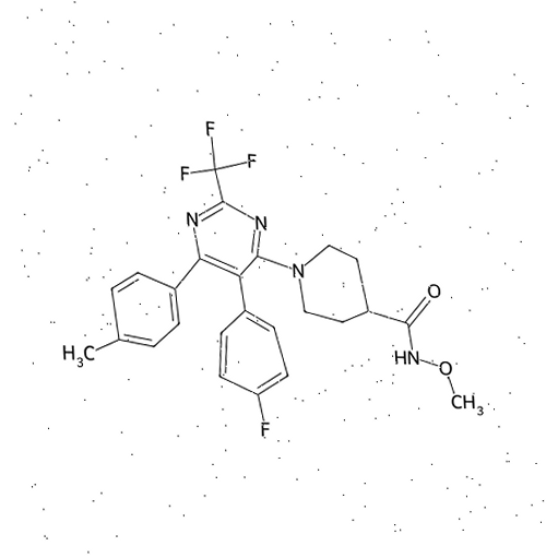 CONC(=O)C1CCN(c2nc(C(F)(F)F)nc(-c3ccc(C)cc3)c2-c2ccc(F)cc2)CC1